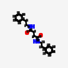 O=C(CCC(=O)NCCc1ccccc1)NCCc1ccccc1